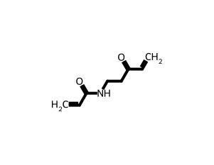 C=CC(=O)CCNC(=O)C=C